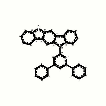 c1ccc(-c2cc(-c3ccccc3)nc(-n3c4ccccc4c4cc5sc6ccccc6c5cc43)c2)cc1